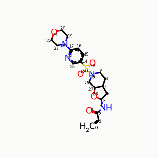 C=CC(=O)NC1CC2CCN(S(=O)(=O)c3ccc(N4CCOCC4)nc3)CC2O1